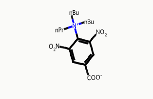 CCCC[N+](CCC)(CCCC)c1c([N+](=O)[O-])cc(C(=O)[O-])cc1[N+](=O)[O-]